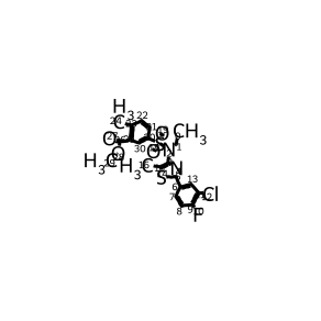 CCN(c1nc(-c2ccc(F)c(Cl)c2)sc1C)S(=O)(=O)c1ccc(C)c(C(=O)OC)c1